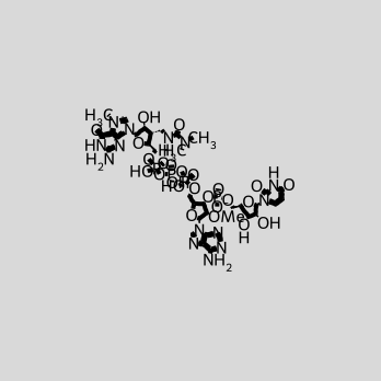 CO[C@@H]1[C@H](OP(=O)([O-])OC[C@H]2O[C@@H](n3ccc(=O)[nH]c3=O)[C@H](O)[C@@H]2O)C(COP(=O)(O)OP(=O)(O)OP(=O)(O)OC[C@H]2O[C@@H](n3c[n+](C)c4c(=O)[nH]c(N)nc43)[C@H](O)[C@@H]2CNC(=O)N(C)C)O[C@H]1n1cnc2c(N)ncnc21